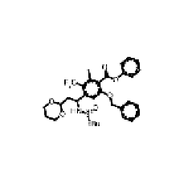 Cc1c(C(=O)Oc2ccccc2)c(OCc2ccccc2)cc(C(CC2OCCCO2)N[S@@+]([O-])C(C)(C)C)c1C(F)(F)F